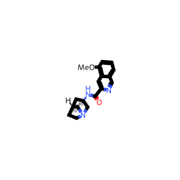 COc1cccc2cnc(C(=O)N[C@@H]3C[C@@H]4CCN(C4)C3)cc12